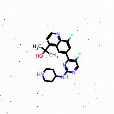 CC(C)(O)c1ccnc2c(F)cc(-c3nc(NC4CCNCC4)ncc3F)cc12